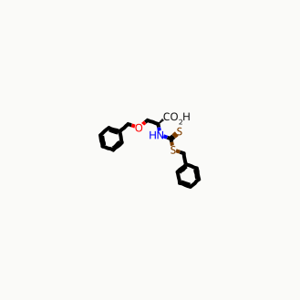 O=C(O)[C@H](COCc1ccccc1)NC(=S)SCc1ccccc1